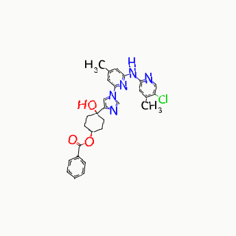 Cc1cc(Nc2cc(C)c(Cl)cn2)nc(-n2cnc([C@]3(O)CC[C@@H](OC(=O)c4ccccc4)CC3)c2)c1